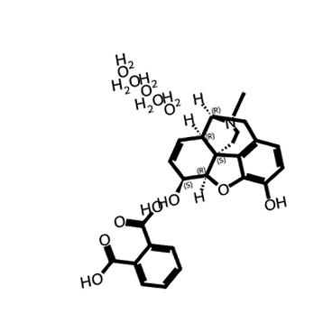 CN1CC[C@]23c4c5ccc(O)c4O[C@H]2[C@@H](O)C=C[C@H]3[C@H]1C5.O.O.O.O.O.O=C(O)c1ccccc1C(=O)O